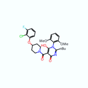 CCCCc1nc(=O)c(C(=O)N2CCC(Oc3cccc(F)c3Cl)CC2)c(O)n1-c1c(OC)cccc1OC